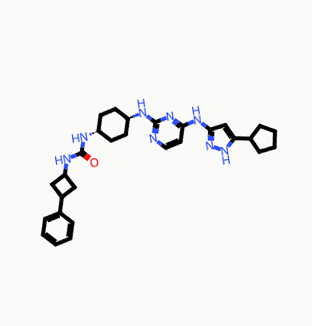 O=C(NC1CC(c2ccccc2)C1)N[C@H]1CC[C@H](Nc2nccc(Nc3cc(C4CCCC4)[nH]n3)n2)CC1